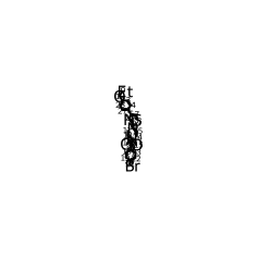 CCOc1ccc(-c2csc(N3CCN(S(=O)(=O)c4ccc(Br)cc4)CC3)n2)cc1